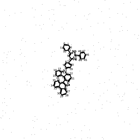 c1ccc(-c2cc(-c3ccc(-n4c5ccccc5c5c6c(ccc54)sc4c5ccccc5c5ccccc5c46)cc3)nc(-c3ccccc3)n2)cc1